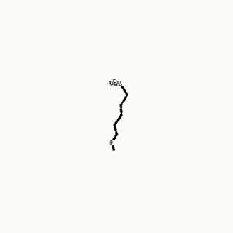 CCCCCCCCC[P]C